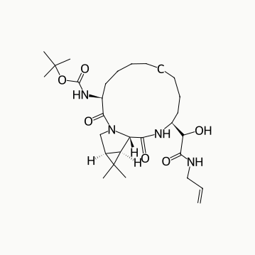 C=CCNC(=O)C(O)[C@@H]1CCCCCCCC[C@H](NC(=O)OC(C)(C)C)C(=O)N2C[C@H]3[C@@H]([C@H]2C(=O)N1)C3(C)C